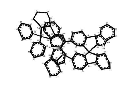 c1ccc(N(c2ccccc2)c2ccc3c(c2)C2(c4ccccc4-c4ccc(N(c5ccccc5)c5ccc6c(c5)C(c5ccccc5)(c5ccccc5)C5CCCCC65)cc42)c2oc4ccccc4c2-3)cc1